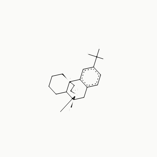 [2H]C([2H])([2H])c1ccc2c(c1)[C@@]13CCCC[C@@H]1[C@@H](C2)N(C)CC3